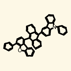 c1ccc(-c2ccc(-c3c4ccccc4c(-c4ccc5c(c4)c4ccccc4n5-c4ccccc4)c4ccccc34)c3c2oc2ccccc23)cc1